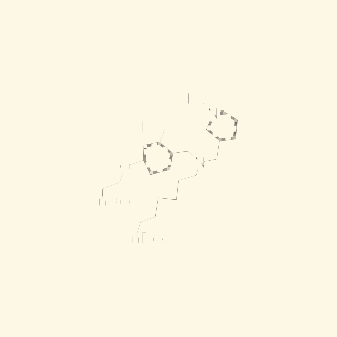 CCCCCCCCCCCCCCCCN(Cc1ccc[n+](CC)c1)Cc1ccc(OCCCCCCCCCCCC)cc1C.[I-]